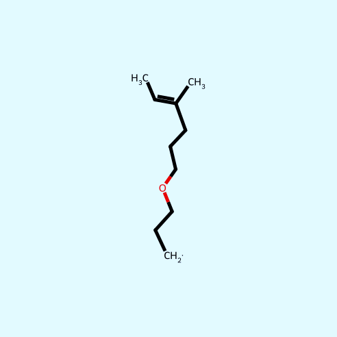 [CH2]CCOCCCC(C)=CC